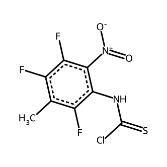 Cc1c(F)c(F)c([N+](=O)[O-])c(NC(=S)Cl)c1F